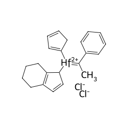 C/[C](c1ccccc1)=[Hf+2](/[C]1=CC=CC1)[CH]1C=CC2=C1CCCC2.[Cl-].[Cl-]